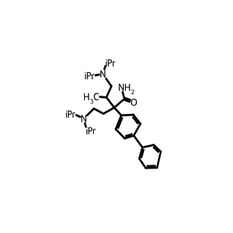 CC(C)N(CCC(C(N)=O)(c1ccc(-c2ccccc2)cc1)C(C)CN(C(C)C)C(C)C)C(C)C